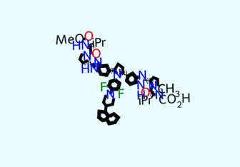 COC(=O)N[C@H](C(=O)N1CCC[C@H]1c1nc2cc([C@H]3CC[C@H](c4ccc5[nH]c([C@@H]6CCCN6C(=O)[C@H](C(C)C)N(C)C(=O)O)nc5c4)N3c3cc(F)c(N4CCC(c5cccc6ccccc56)CC4)c(F)c3)ccc2[nH]1)C(C)C